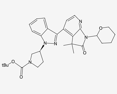 CC(C)(C)OC(=O)N1CC[C@H](n2nc(-c3ccnc4c3C(C)(C)C(=O)N4C3CCCCO3)c3ccccc32)C1